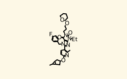 CCn1c(=O)n(CCCOC2CCCCO2)c(=O)c2c1nc(-c1ccc(OC3CC4C(C)C4C3)nc1C)n2Cc1ccc(F)cc1